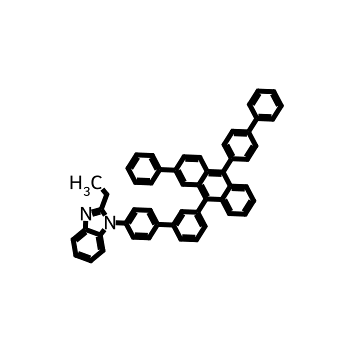 CCc1nc2ccccc2n1-c1ccc(-c2cccc(-c3c4ccccc4c(-c4ccc(-c5ccccc5)cc4)c4ccc(-c5ccccc5)cc34)c2)cc1